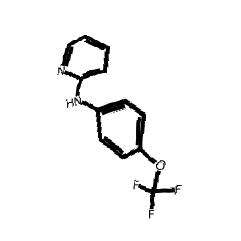 FC(F)(F)Oc1ccc(Nc2ccccn2)cc1